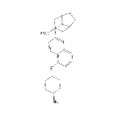 CC(C)(C)[C@H]1CC[C@H](Oc2cccc3cc(CN4C5CCC4CC(C(=O)O)C5)ccc23)CC1